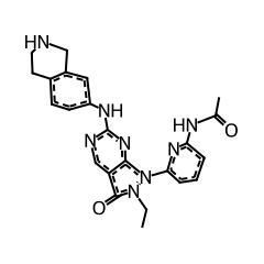 CCn1c(=O)c2cnc(Nc3ccc4c(c3)CNCC4)nc2n1-c1cccc(NC(C)=O)n1